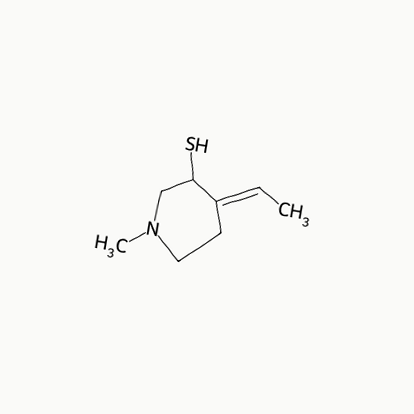 CC=C1CCN(C)CC1S